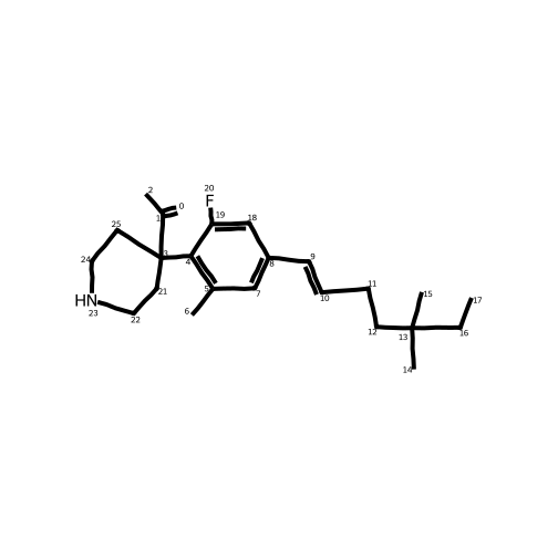 C=C(C)C1(c2c(C)cc(/C=C/CCC(C)(C)CC)cc2F)CCNCC1